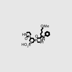 COCCCCc1c(C(=O)N(CC(C)C)[C@H]2C[C@@H](N3CCCNC3=O)CN(C(=O)O)C2)nnn1-c1ccccc1